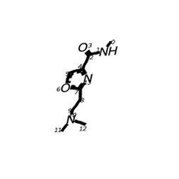 CNC(=O)c1coc(CCN(C)C)n1